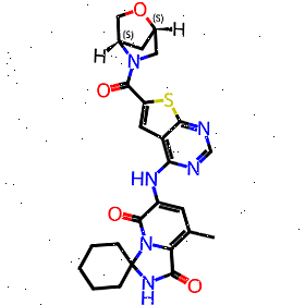 Cc1cc(Nc2ncnc3sc(C(=O)N4C[C@@H]5C[C@H]4CO5)cc23)c(=O)n2c1C(=O)NC21CCCCC1